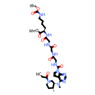 COC(=O)[C@@H](CCCCNC(=O)OC(C)(C)C)NC(=O)CNC(=O)CNC(=O)CNC(=O)n1ccc2c(N(C)[C@H]3CN(C(=O)CC#N)CC[C@H]3C)ncnc21